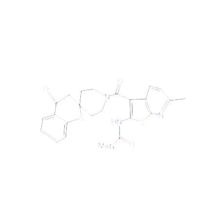 CNC(=O)Nc1sc2nc(C)ccc2c1C(=O)N1CCC2(CC1)CC(=O)c1ccccc1S2